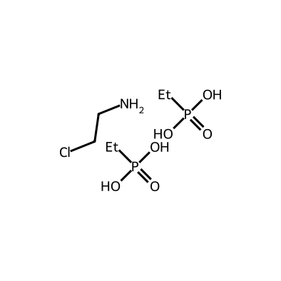 CCP(=O)(O)O.CCP(=O)(O)O.NCCCl